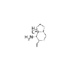 CC12CCCC1CCC(I)C2N